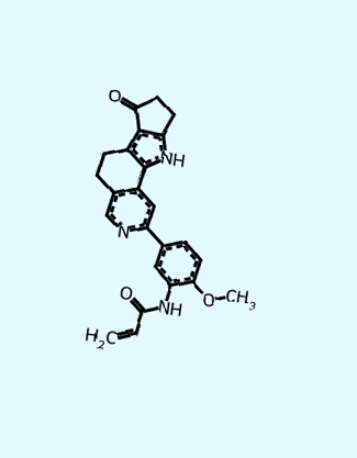 C=CC(=O)Nc1cc(-c2cc3c(cn2)CCc2c-3[nH]c3c2C(=O)CC3)ccc1OC